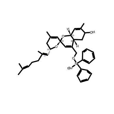 CC(C)=CCC/C(C)=C/[C@@H]1CC(C)=C[C@]2(C=C(CO[Si](c3ccccc3)(c3ccccc3)C(C)(C)C)[C@H]3CC(O)C(C)=C[C@H]3O2)O1